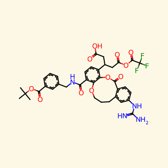 CC(C)(C)OC(=O)c1cccc(CNC(=O)c2ccc(C(CC(=O)O)CC(=O)OC(=O)C(F)(F)F)c3c2OCCCc2cc(NC(=N)N)ccc2C(=O)O3)c1